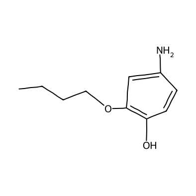 CCCCOc1cc(N)ccc1O